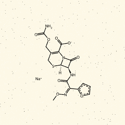 CO/N=C(\C(=O)N[C@@H]1C(=O)N2C(C(=O)[O-])=C(COC(N)=O)CS[C@H]12)c1ccco1.[Na+]